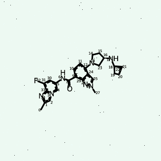 Cc1cn2cc(NC(=O)c3ccc(N4CC[C@@H](NC56CC(C5)C6)C4)c4cn(C)nc34)cc(F)c2n1